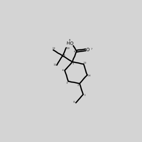 CCC1CCC(C(=O)O)(C(C)(C)C)CC1